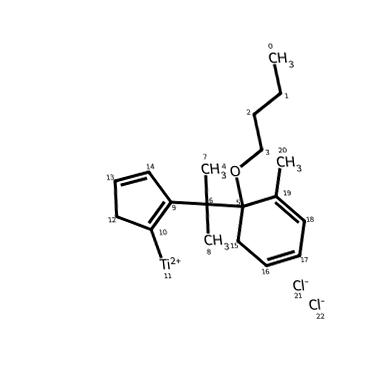 CCCCOC1(C(C)(C)C2=[C]([Ti+2])CC=C2)CC=CC=C1C.[Cl-].[Cl-]